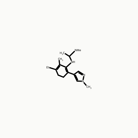 CCC1=C(C)C(NC(C)NC)=C(c2cnn(C)c2)CC1